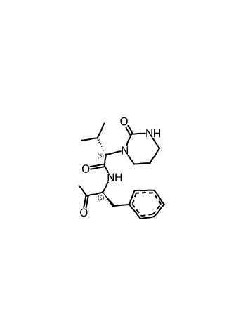 CC(=O)[C@H](Cc1ccccc1)NC(=O)[C@H](C(C)C)N1CCCNC1=O